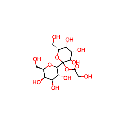 O=C(CO)OC1(C2O[C@H](CO)[C@H](O)[C@H](O)[C@H]2O)O[C@H](CO)[C@H](O)[C@H](O)[C@H]1O